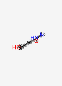 CN(C)CCCNC(=O)CCCCCCCCCC[Si](C)(C)O